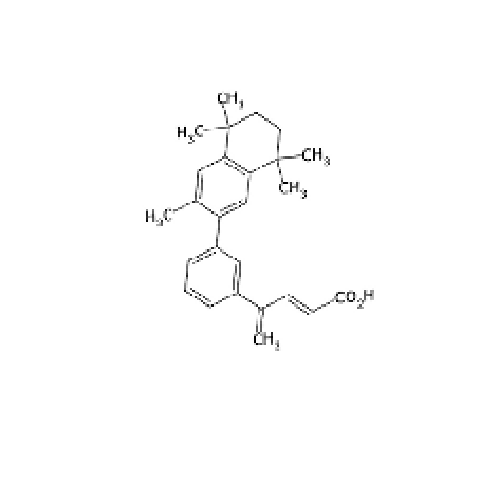 C=C(C=CC(=O)O)c1cccc(-c2cc3c(cc2C)C(C)(C)CCC3(C)C)c1